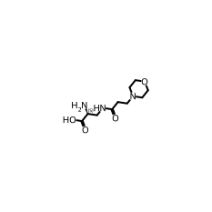 N[C@@H](CNC(=O)CCN1CCOCC1)C(=O)O